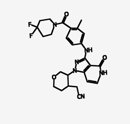 Cc1cc(Nc2nn(C3COCCC3CC#N)c3cc[nH]c(=O)c23)ccc1C(=O)N1CCC(F)(F)CC1